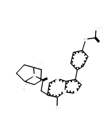 CNC(=O)Nc1ccc(-c2cnn3c(N)cc([C@@H]4C[C@H]5CC[C@@H](C4)N5C(=O)CO)nc23)cc1